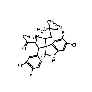 CC(C)(C)CC1NC(C(=O)O)C(c2ccc(F)c(Cl)c2)C12C(=O)Nc1cc(Cl)c(F)cc12